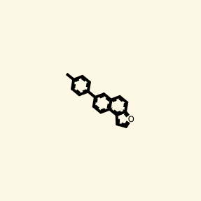 Cc1ccc(-c2ccc3c(ccc4occc43)c2)cc1